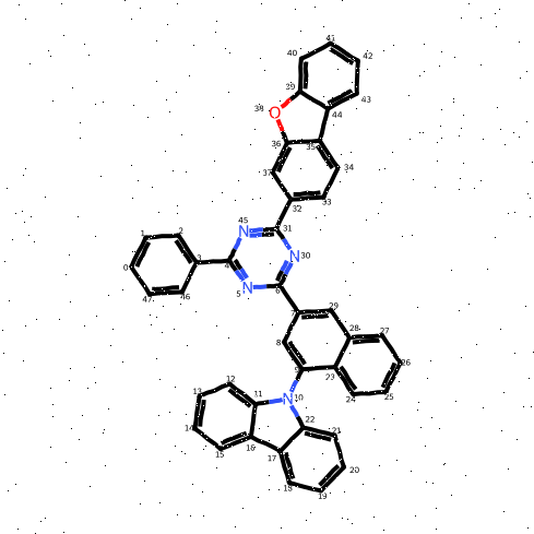 c1ccc(-c2nc(-c3cc(-n4c5ccccc5c5ccccc54)c4ccccc4c3)nc(-c3ccc4c(c3)oc3ccccc34)n2)cc1